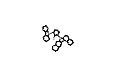 Brc1c(-n2c3ccccc3c3ccccc32)cccc1-n1c2cc3ccccc3cc2c2c3ccccc3ccc21